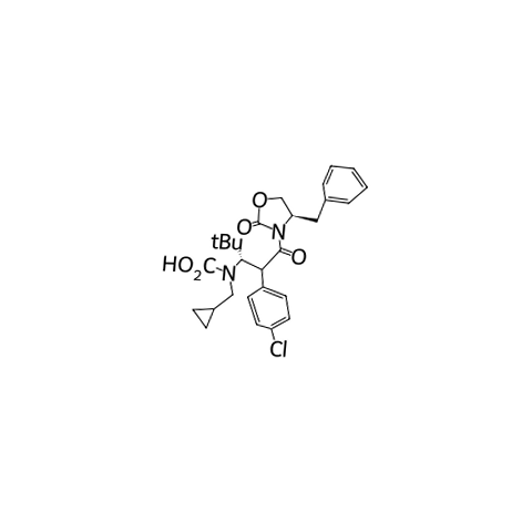 CC(C)(C)[C@H](C(C(=O)N1C(=O)OC[C@H]1Cc1ccccc1)c1ccc(Cl)cc1)N(CC1CC1)C(=O)O